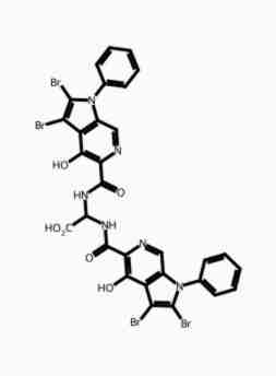 O=C(NC(NC(=O)c1ncc2c(c1O)c(Br)c(Br)n2-c1ccccc1)C(=O)O)c1ncc2c(c1O)c(Br)c(Br)n2-c1ccccc1